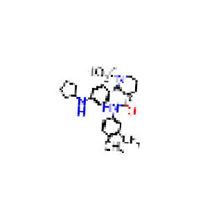 Cc1ccc(NC(=O)[C@H]2CCCN(C(=O)O)[C@H]2c2ccc(NC3CCCC3)cc2)cc1C(F)(F)F